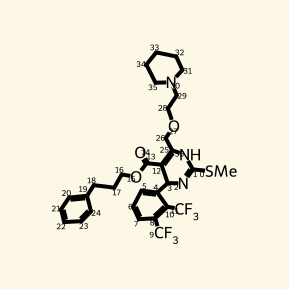 CSC1=NC(c2cccc(C(F)(F)F)c2C(F)(F)F)C(C(=O)OCCCc2ccccc2)=C(COCCN2CCCCC2)N1